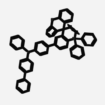 c1ccc(-c2ccc(N(c3ccccc3)c3ccc(-c4ccc5c(c4)C4(c6ccccc6Oc6ccccc64)c4ccccc4[Si]5(c4ccccc4)c4ccccc4)cc3)cc2)cc1